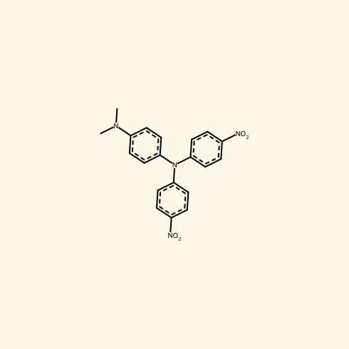 CN(C)c1ccc(N(c2ccc([N+](=O)[O-])cc2)c2ccc([N+](=O)[O-])cc2)cc1